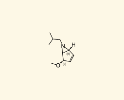 CO[C@@H]1C=C[C@@H]2C1N2CC(C)C